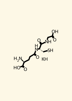 N[C@@H](CCC(=O)N[C@@H](CS)C(=O)NCC(=O)O)C(=O)O.[KH]